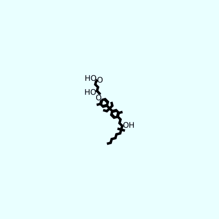 CCCCCCC(C)(C)C(O)CCc1ccc(C(CC)(CC)c2ccc(OC[C@@H](O)CCC(=O)O)c(C)c2)cc1C